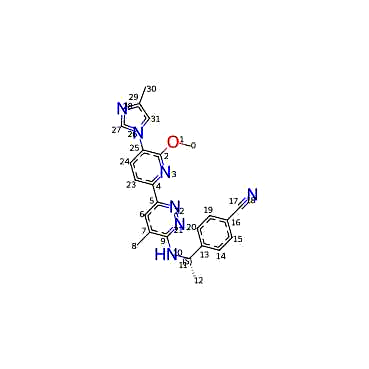 COc1nc(-c2cc(C)c(N[C@@H](C)c3ccc(C#N)cc3)nn2)ccc1-n1cnc(C)c1